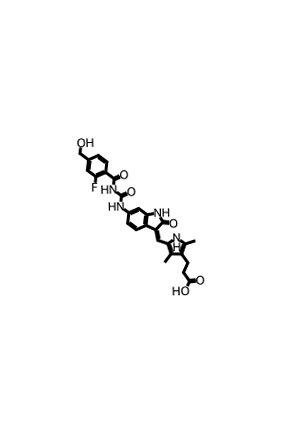 Cc1[nH]c(/C=C2\C(=O)Nc3cc(NC(=O)NC(=O)c4ccc(CO)cc4F)ccc32)c(C)c1CCC(=O)O